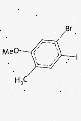 COc1cc(Br)c(I)cc1C